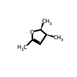 CC1=C[C@H](C)[C@H](C)O1